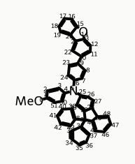 COc1ccc(N(c2ccc(-c3ccc4oc5ccccc5c4c3)cc2)c2ccc3c(c2)C(c2c#cccc2)(c2ccccc2)c2ccccc2-3)cc1